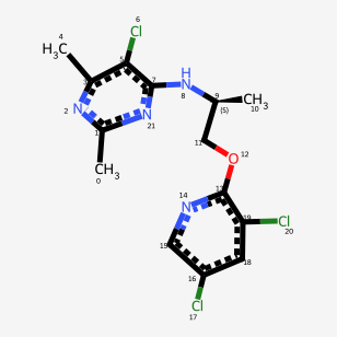 Cc1nc(C)c(Cl)c(N[C@@H](C)COc2ncc(Cl)cc2Cl)n1